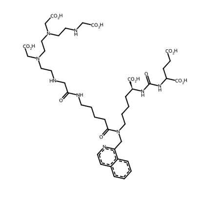 O=C(O)CCC(NC(=O)N[C@@H](CCCCN(Cc1nccc2ccccc12)C(=O)CCCCNC(=O)CNCCN(CCN(CCNCC(=O)O)CC(=O)O)CC(=O)O)C(=O)O)C(=O)O